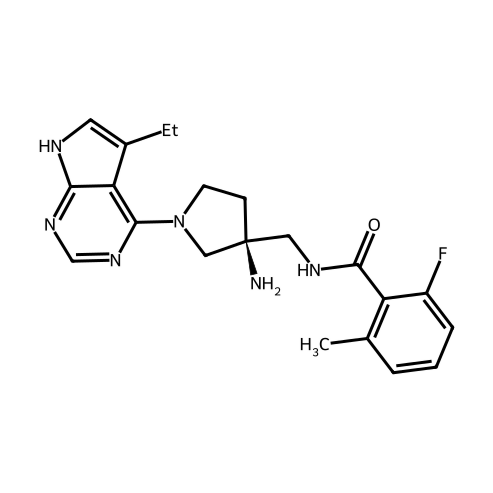 CCc1c[nH]c2ncnc(N3CC[C@](N)(CNC(=O)c4c(C)cccc4F)C3)c12